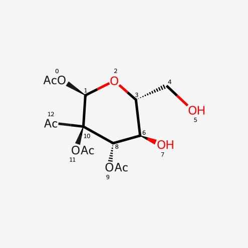 CC(=O)O[C@H]1O[C@H](CO)[C@@H](O)[C@H](OC(C)=O)[C@]1(OC(C)=O)C(C)=O